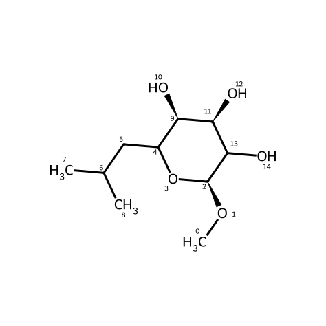 CO[C@H]1OC(CC(C)C)[C@@H](O)[C@@H](O)C1O